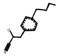 CCCCc1ccc(CC(Cl)C#N)cc1